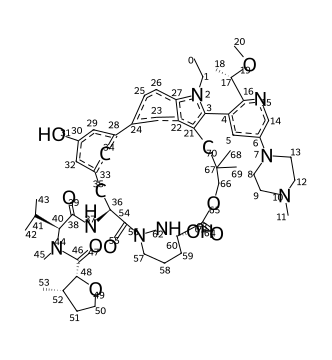 CCn1c(-c2cc(N3CCN(C)CC3)cnc2[C@H](C)OC)c2c3cc(ccc31)-c1cc(O)cc(c1)C[C@H](NC(=O)[C@H](C(C)C)N(C)C(=O)[C@@H]1OCC[C@@H]1C)C(=O)N1CCC[C@@](O)(N1)C(=O)OCC(C)(C)C2